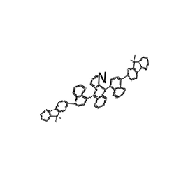 CC1(C)c2ccccc2-c2ccc(-c3ccc(-c4c5ccccc5c(-c5ccc(-c6ccc7c(c6)C(C)(C)c6ccccc6-7)c6ccccc56)c5ncccc45)c4ccccc34)cc21